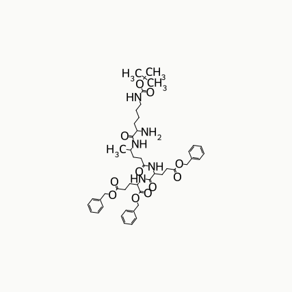 CC(CCC(=O)NC(CCC(=O)OCc1ccccc1)C(=O)NC(CCC(=O)OCc1ccccc1)C(=O)OCc1ccccc1)NC(=O)C(N)CCCCNC(=O)OC(C)(C)C